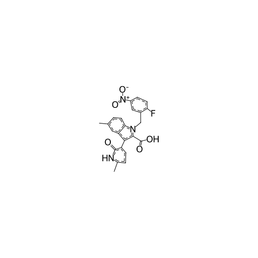 Cc1ccc2c(c1)c(-c1ccc(C)[nH]c1=O)c(C(=O)O)n2Cc1cc([N+](=O)[O-])ccc1F